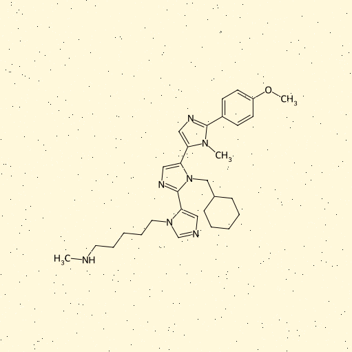 CNCCCCCn1cncc1-c1ncc(-c2cnc(-c3ccc(OC)cc3)n2C)n1CC1CCCCC1